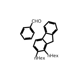 CCCCCCc1ccc2c(c1CCCCCC)Cc1ccccc1-2.O=Cc1ccccc1